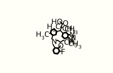 CCC1CN(Cc2cc(C(c3ccc4c(nnn4C)c3C)C(C)(C)C(=O)O)ccc2C)Cc2cccc(F)c2O1